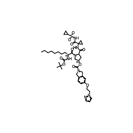 CCCCCCCC[C@H](NC(=O)OC(C)(C)C)C(=O)N1C[C@H](OC(=O)N2Cc3ccc(OCCn4cccn4)cc3C2)CC1C(=O)NC1(C(=O)NS(=O)(=O)C2CC2)CC1